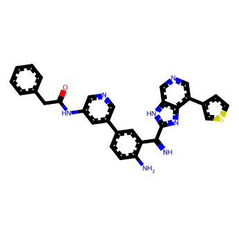 N=C(c1nc2c(-c3ccsc3)cncc2[nH]1)c1cc(-c2cncc(NC(=O)Cc3ccccc3)c2)ccc1N